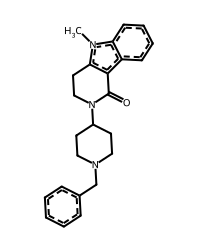 Cn1c2c(c3ccccc31)C(=O)N(C1CCN(Cc3ccccc3)CC1)CC2